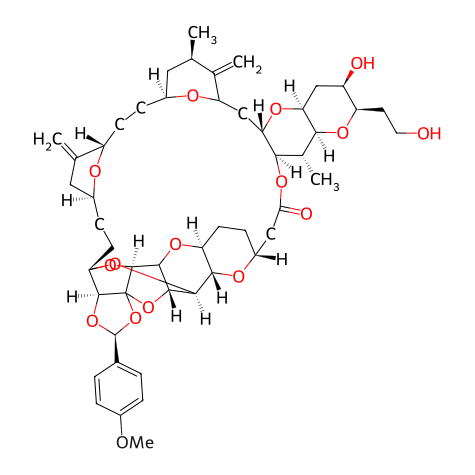 C=C1C2C[C@@H]3O[C@H]4C[C@@H](O)[C@@H](CCO)O[C@H]4[C@H](C)[C@H]3OC(=O)C[C@H]3CC[C@@H]4OC5[C@H]6OC78O[C@@H](c9ccc(OC)cc9)O[C@H]7[C@](CC[C@H]7CC(=C)[C@H](CC[C@@H](C[C@H]1C)O2)O7)(O[C@H]6[C@H]4O3)O[C@@H]58